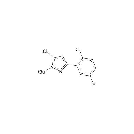 CC(C)(C)n1nc(-c2cc(F)ccc2Cl)cc1Cl